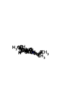 COCCN(C)CCO/N=C1\CCc2c1cccc2-c1noc(-c2ccc(OC(C)C)c(C#N)c2)n1